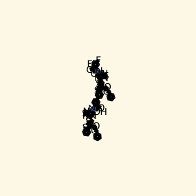 O=C1c2cc(-c3ccc4c(c3)sc3c5sc(-c6ncc(/N=C7/c8cc(F)cc(F)c8C(=O)C7O)c7nsnc67)cc5n(C(=O)OCc5ccccc5)c43)ccc2/C(=N/c2cnc(-c3cc4c(s3)c3sc5ccccc5c3n4C(=O)OCc3ccccc3)c3nsnc23)C1O